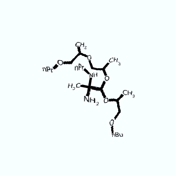 CCCCOCC(C)OC(OC(C)COC(C)COCCC)C(C)(N)NCCC